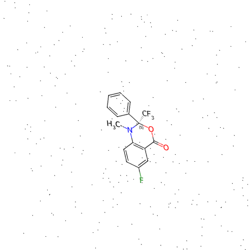 CN1c2ccc(F)cc2C(=O)O[C@@]1(c1ccccc1)C(F)(F)F